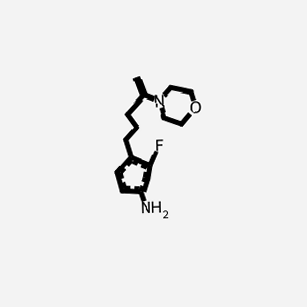 C=C(CCCc1ccc(N)cc1F)N1CCOCC1